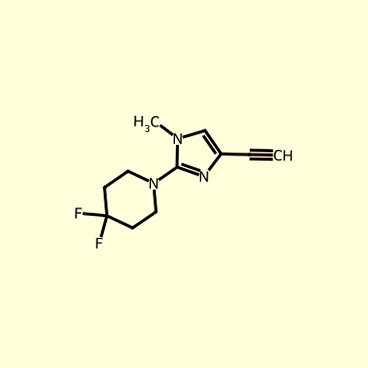 C#Cc1cn(C)c(N2CCC(F)(F)CC2)n1